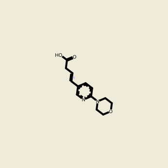 O=C(O)C/C=C/c1ccc(N2CCOCC2)nc1